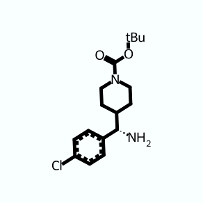 CC(C)(C)OC(=O)N1CCC([C@H](N)c2ccc(Cl)cc2)CC1